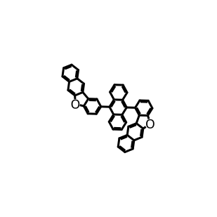 c1ccc2cc3c(cc2c1)oc1ccc(-c2c4ccccc4c(-c4cccc5oc6cc7ccccc7cc6c45)c4ccccc24)cc13